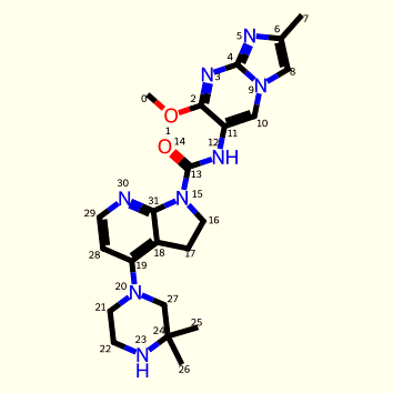 COc1nc2nc(C)cn2cc1NC(=O)N1CCc2c(N3CCNC(C)(C)C3)ccnc21